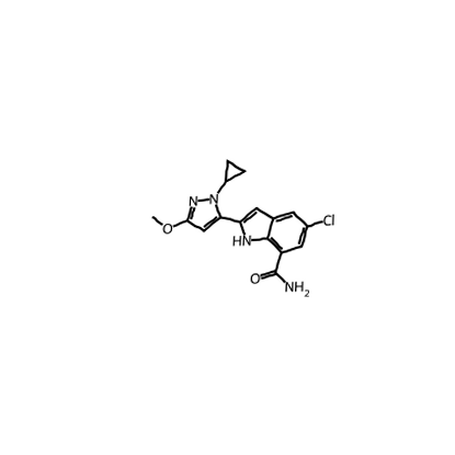 COc1cc(-c2cc3cc(Cl)cc(C(N)=O)c3[nH]2)n(C2CC2)n1